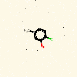 [CH2]c1ccc(Cl)c(O)c1